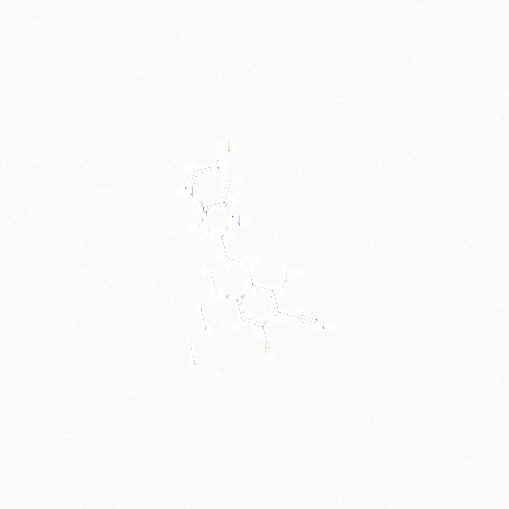 CCCCOC[C@@H](Oc1ccc(F)c(C#N)c1F)c1nc2cc(Cl)cnc2s1